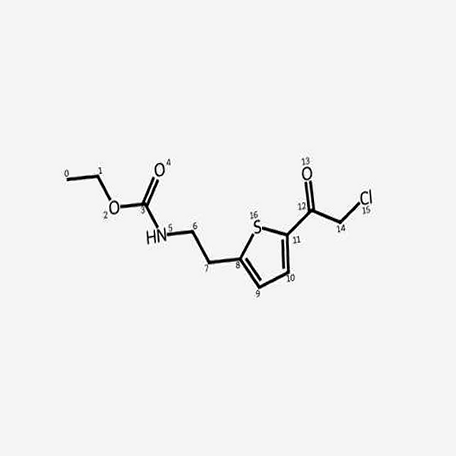 CCOC(=O)NCCc1ccc(C(=O)CCl)s1